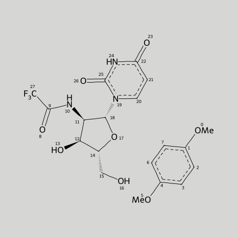 COc1ccc(OC)cc1.O=C(N[C@@H]1[C@H](O)[C@@H](CO)O[C@H]1n1ccc(=O)[nH]c1=O)C(F)(F)F